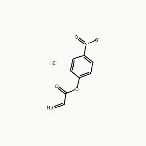 C=CC(=O)Oc1ccc([N+](=O)[O-])cc1.Cl